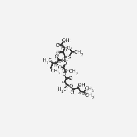 CCC(C)[C@H](OC(=O)[C@H](C)OC(=O)C[C@@H](C)OC(=O)[C@H](O)CC(C)C)C(=O)N[C@@H](CC(C)C)C(=O)CC(=O)O